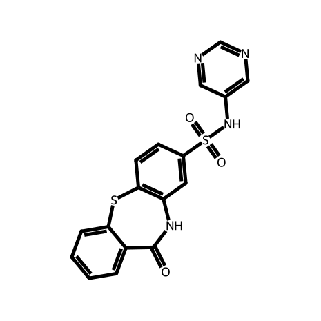 O=C1Nc2cc(S(=O)(=O)Nc3cncnc3)ccc2Sc2ccccc21